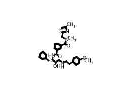 COc1ccc(CCNC[C@@H](O)[C@H](Cc2ccccc2)NC(=O)c2cccc(C(=O)N(C)Cc3nc(C)cs3)c2)cc1